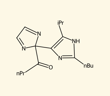 [CH2]CCC(=O)C1(c2nc(CCCC)[nH]c2C(C)C)N=CC=N1